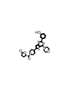 O=C1CC[C@@H](C(=O)N2CC=C(c3cc4nc(-c5cccc(O)c5)nc(N5CCOCC5)c4s3)CC2)O1